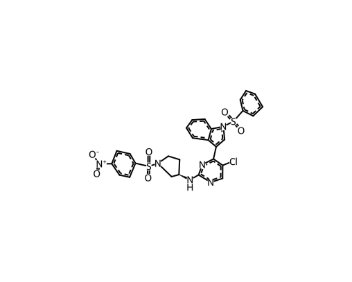 O=[N+]([O-])c1ccc(S(=O)(=O)N2CC[C@@H](Nc3ncc(Cl)c(-c4cn(S(=O)(=O)c5ccccc5)c5ccccc45)n3)C2)cc1